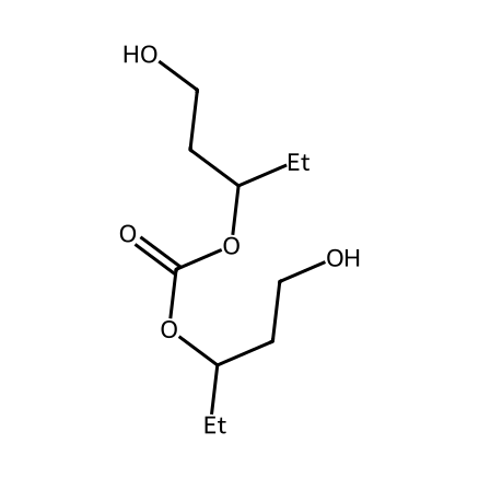 CCC(CCO)OC(=O)OC(CC)CCO